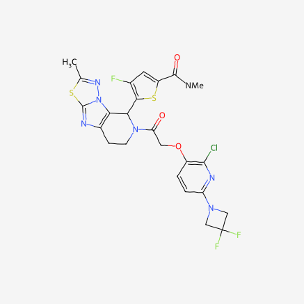 CNC(=O)c1cc(F)c(C2c3c(nc4sc(C)nn34)CCN2C(=O)COc2ccc(N3CC(F)(F)C3)nc2Cl)s1